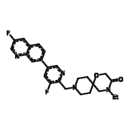 CCN1CC2(CCN(Cc3ncc(-c4ccc5cc(F)cnc5c4)cc3F)CC2)OCC1=O